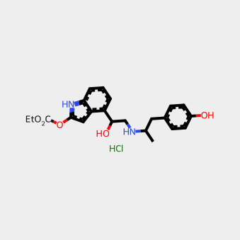 CCOC(=O)Oc1cc2c(C(O)CNC(C)Cc3ccc(O)cc3)cccc2[nH]1.Cl